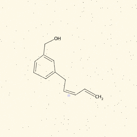 C=C/C=C\Cc1cccc(CO)c1